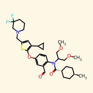 COCC(COC)N(c1ccc(Oc2sc(CN3CCCC(F)(F)C3)cc2C2CC2)cc1C=O)C(=O)[C@H]1CC[C@H](C)CC1